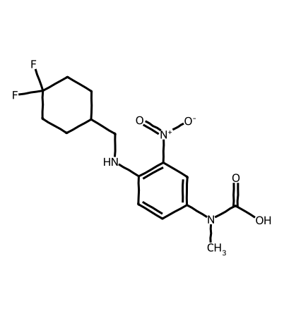 CN(C(=O)O)c1ccc(NCC2CCC(F)(F)CC2)c([N+](=O)[O-])c1